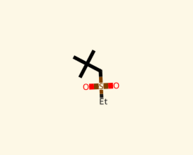 CCS(=O)(=O)CC(C)(C)C